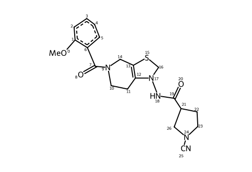 COc1ccccc1C(=O)N1CCC2=C(C1)SCN2NC(=O)C1CCN(C#N)C1